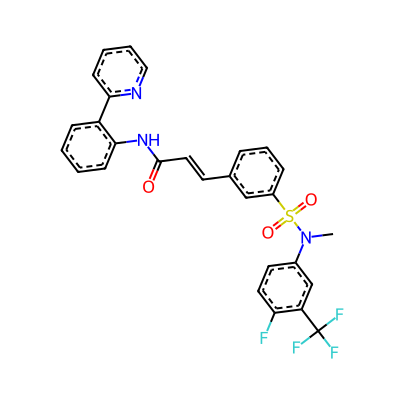 CN(c1ccc(F)c(C(F)(F)F)c1)S(=O)(=O)c1cccc(/C=C/C(=O)Nc2ccccc2-c2ccccn2)c1